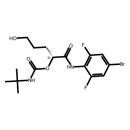 CC(C)(C)NC(=O)O[C@H](CCCO)C(=O)Nc1c(F)cc(Br)cc1F